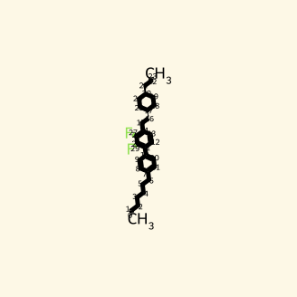 CCCCCCCc1ccc(-c2ccc(CC[C@H]3CC[C@H](CCC)CC3)c(F)c2F)cc1